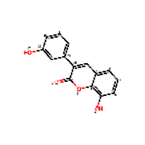 O=c1oc2c(O)cccc2cc1-c1cccc(O)c1